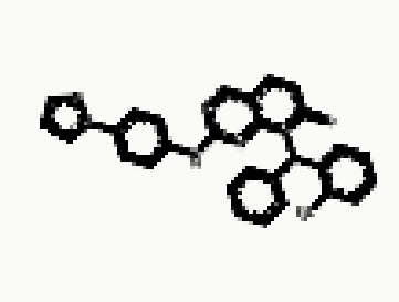 O=c1ccc2cnc(Nc3ccc(-n4cccn4)cc3)nc2n1C(c1ccccc1)c1ccccc1C(F)(F)F